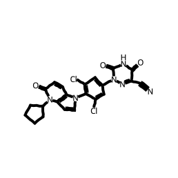 N#Cc1nn(-c2cc(Cl)c(-n3ccc4c3ccc(=O)n4C3CCCC3)c(Cl)c2)c(=O)[nH]c1=O